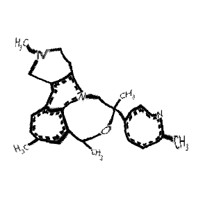 Cc1cc2c3c(c1)c1c(n3CC(C)(c3ccc(C)nc3)OC2C)CCN(C)C1